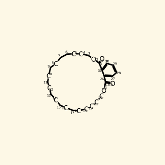 O=C1OCCCCCCCCCCCCCCCCCCCCOC(=O)c2ccccc21